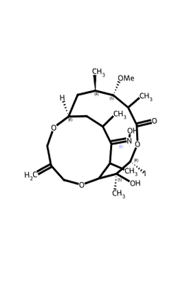 C=C1COC2C(C)/C(=N/O)C(C)C[C@H](C[C@@H](C)[C@H](OC)C(C)C(=O)O[C@H](I)[C@@]2(C)O)OC1